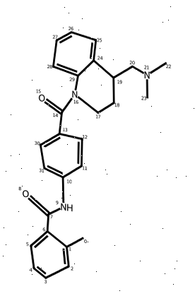 Cc1ccccc1C(=O)Nc1ccc(C(=O)N2CCC(CN(C)C)c3ccccc32)cc1